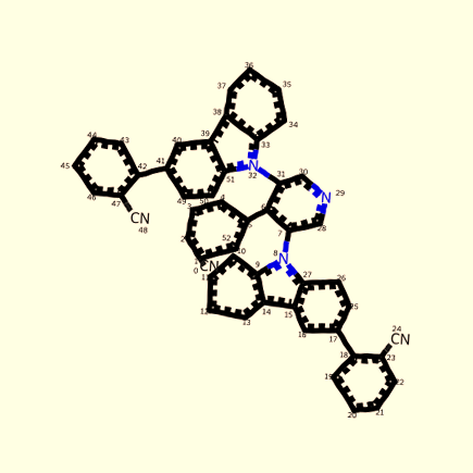 N#Cc1cccc(-c2c(-n3c4ccccc4c4cc(-c5ccccc5C#N)ccc43)cncc2-n2c3ccccc3c3cc(-c4ccccc4C#N)ccc32)c1